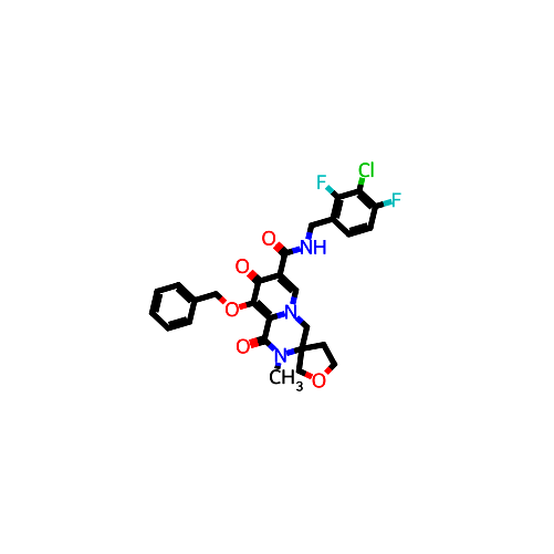 CN1C(=O)c2c(OCc3ccccc3)c(=O)c(C(=O)NCc3ccc(F)c(Cl)c3F)cn2CC12CCOC2